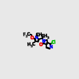 Cc1cc(C(C)N2Cc3c(ccnc3Cl)C2=O)n(C)c1OCC(F)(F)F